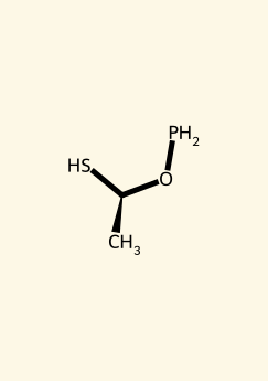 C[C@@H](S)OP